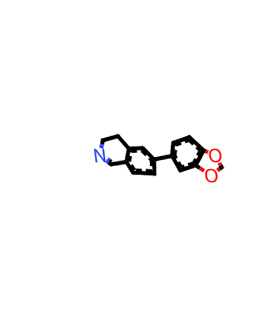 C1=NCCc2cc(-c3ccc4c(c3)OCO4)ccc21